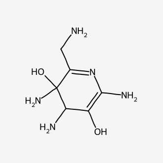 NCC1=NC(N)=C(O)C(N)C1(N)O